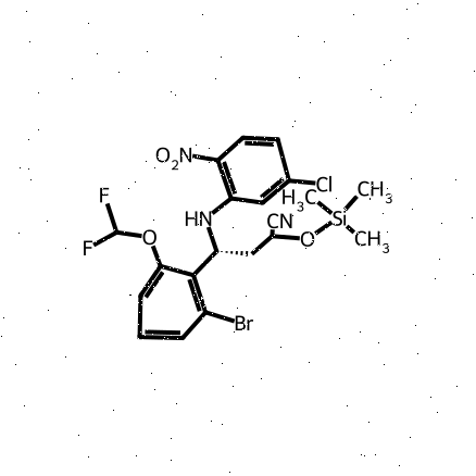 C[Si](C)(C)OC(C#N)C[C@@H](Nc1cc(Cl)ccc1[N+](=O)[O-])c1c(Br)cccc1OC(F)F